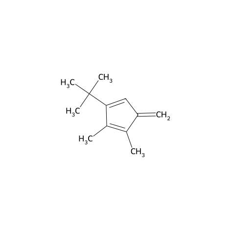 C=C1C=C(C(C)(C)C)C(C)=C1C